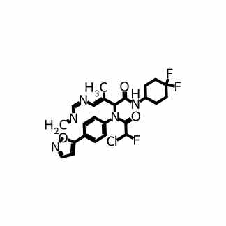 C=N/C=N\C=C(/C)C(C(=O)NC1CCC(F)(F)CC1)N(C(=O)C(F)Cl)c1ccc(-c2ccno2)cc1